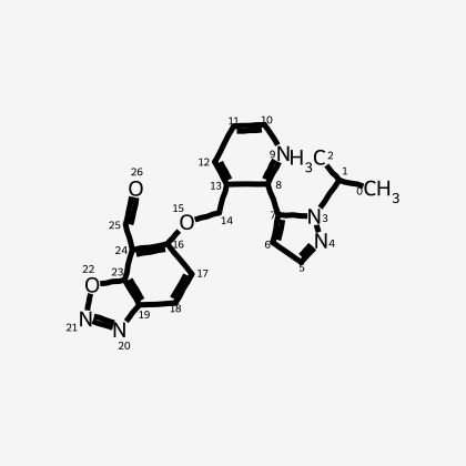 CC(C)n1nccc1-c1ncccc1COc1ccc2nnoc2c1C=O